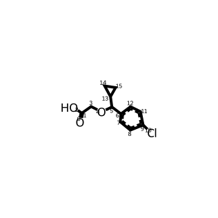 O=C(O)COC(c1ccc(Cl)cc1)C1CC1